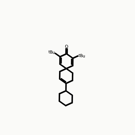 CC(C)(C)C1=CC2(C=C(C(C)(C)C)C1=O)CC=C(C1CCCCC1)CC2